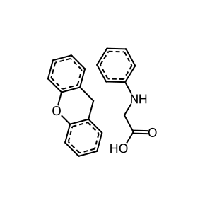 O=C(O)CNc1ccccc1.c1ccc2c(c1)Cc1ccccc1O2